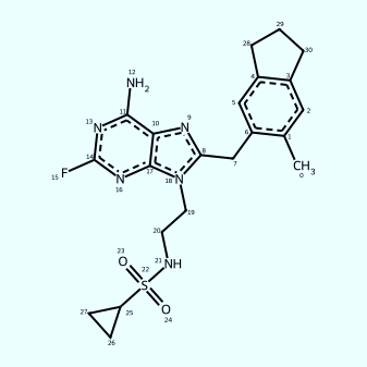 Cc1cc2c(cc1Cc1nc3c(N)nc(F)nc3n1CCNS(=O)(=O)C1CC1)CCC2